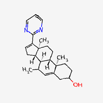 CC1C=C2CC(O)CC[C@]2(C)[C@H]2CC[C@]3(C)C(c4ncccn4)=CC[C@H]3[C@H]12